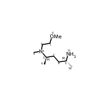 COCCN(C)[C@H](C)CC[C@@H](C)N